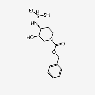 CC[SH](S)N[C@H]1CCN(C(=O)OCc2ccccc2)C[C@H]1O